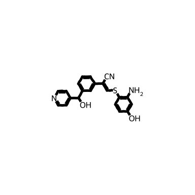 N#C/C(=C\Sc1ccc(O)cc1N)c1cccc(C(O)c2ccncc2)c1